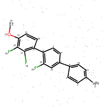 CCCc1ccc(-c2ccc(-c3ccc(OCC)c(F)c3F)c(F)c2)cc1